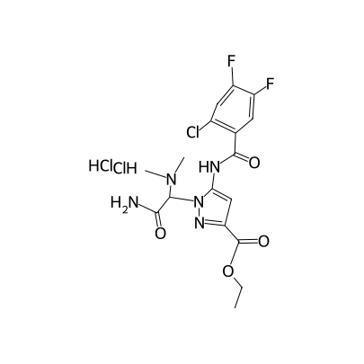 CCOC(=O)c1cc(NC(=O)c2cc(F)c(F)cc2Cl)n(C(C(N)=O)N(C)C)n1.Cl.Cl